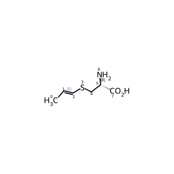 C/C=C/SC[C@H](N)C(=O)O